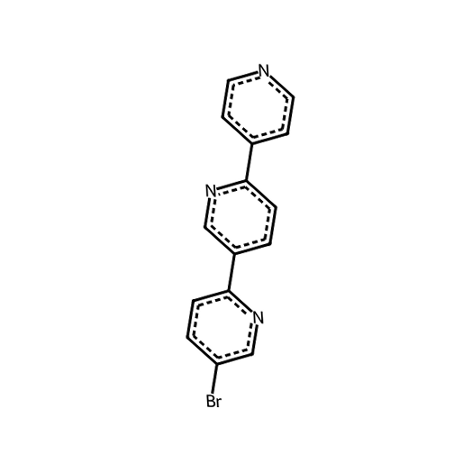 Brc1ccc(-c2ccc(-c3ccncc3)nc2)nc1